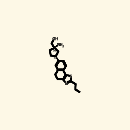 CCCc1nc2c(s1)-c1ccc([C@H]3CC[C@](N)(CO)C3)cc1CC2